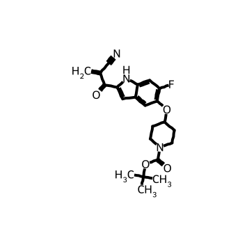 C=C(C#N)C(=O)c1cc2cc(OC3CCN(C(=O)OC(C)(C)C)CC3)c(F)cc2[nH]1